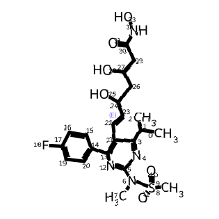 CC(C)c1nc(N(C)S(C)(=O)=O)nc(-c2ccc(F)cc2)c1/C=C/C(O)CC(O)CC(=O)NO